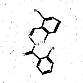 O=C(N/N=C\c1c(O)cccc1Br)c1ccccc1O